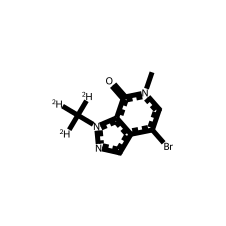 [2H]C([2H])([2H])n1ncc2c(Br)cn(C)c(=O)c21